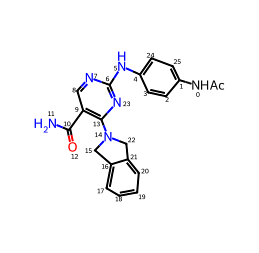 CC(=O)Nc1ccc(Nc2ncc(C(N)=O)c(N3Cc4ccccc4C3)n2)cc1